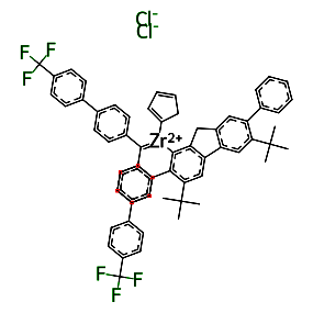 CC(C)(C)c1cc2c(cc1-c1ccccc1)Cc1c-2cc(C(C)(C)C)c(-c2ccccc2)[c]1[Zr+2]([C]1=CC=CC1)=[C](c1ccc(-c2ccc(C(F)(F)F)cc2)cc1)c1ccc(-c2ccc(C(F)(F)F)cc2)cc1.[Cl-].[Cl-]